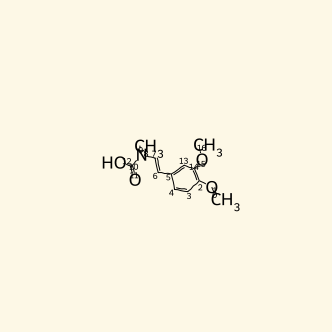 COc1ccc(C=CN(C)C(=O)O)cc1OC